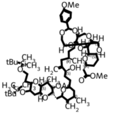 C=C1C(C[C@@H]2O[C@H]3CC(O[Si](C)(C)C(C)(C)C)C(CCO[Si](C)(C)C(C)(C)C)O[C@H]3[C@H](C)[C@H]2OC(C)=O)OC(CC[C@H](O)C(=C)C[C@H](C)CC[C@]23O[C@@H]4[C@H]5OC[C@H]2OC(c2ccc(OC)cc2)OC[C@H](O3)[C@@H]5O[C@H]2CC[C@H](CC(=O)OC)O[C@H]42)C[C@H]1C